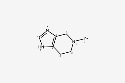 CC(C)N1CCc2[nH]cnc2C1